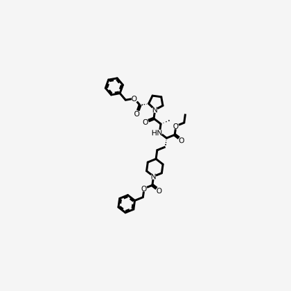 CCOC(=O)[C@H](CCC1CCN(C(=O)OCc2ccccc2)CC1)N[C@@H](C)C(=O)N1CCC[C@H]1C(=O)OCc1ccccc1